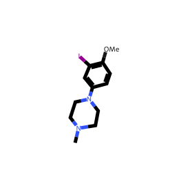 COc1ccc(N2CCN(C)CC2)cc1I